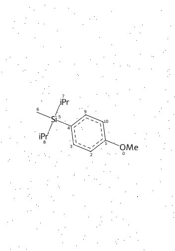 COc1ccc([Si](C)(C(C)C)C(C)C)cc1